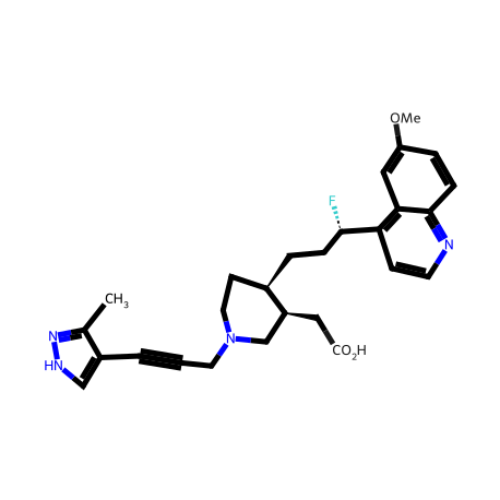 COc1ccc2nccc([C@@H](F)CC[C@@H]3CCN(CC#Cc4c[nH]nc4C)C[C@@H]3CC(=O)O)c2c1